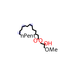 CCCCC/C=C\C/C=C\C/C=C\CCCCC(=O)OCC(O)COC